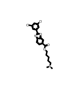 CN(C)CCCCCOC(=O)c1ccc2nc(-c3cc(Cl)cc(Cl)c3)oc2c1